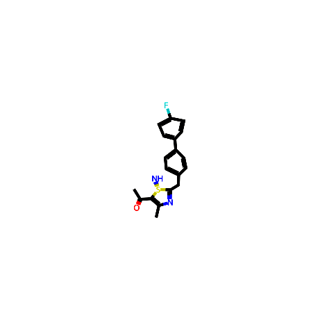 CC(=O)C1=C(C)N=C(Cc2ccc(-c3ccc(F)cc3)cc2)S1=N